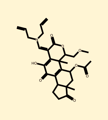 C=CCN(C=C1C(=O)OC(COC)C2(C)C1=C(O)C(=O)C1=C2C(OC(C)=O)CC2(C)C(=O)CCC12)CC=C